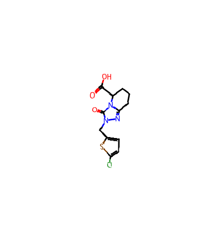 O=C(O)C1CCCc2nn(Cc3ccc(Cl)s3)c(=O)n21